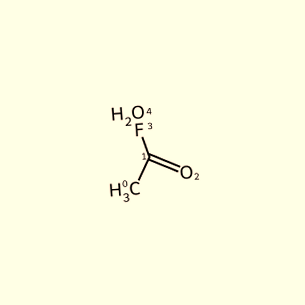 CC(=O)F.O